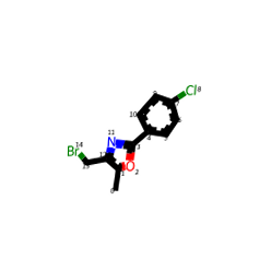 Cc1oc(-c2ccc(Cl)cc2)nc1CBr